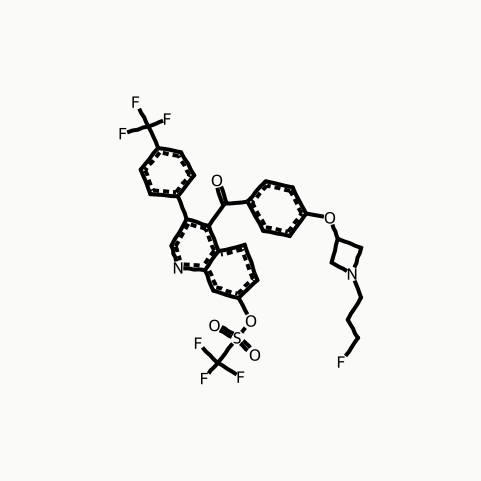 O=C(c1ccc(OC2CN(CCCF)C2)cc1)c1c(-c2ccc(C(F)(F)F)cc2)cnc2cc(OS(=O)(=O)C(F)(F)F)ccc12